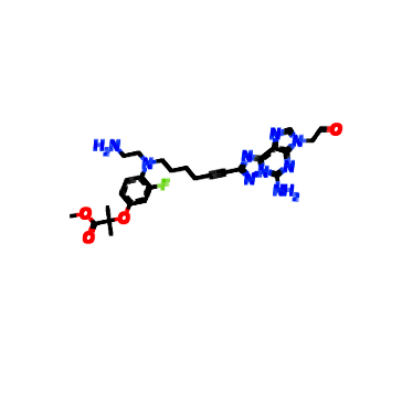 COC(=O)C(C)(C)Oc1ccc(N(CCN)CCCCC#Cc2nc3c4ncn(CC=O)c4nc(N)n3n2)c(F)c1